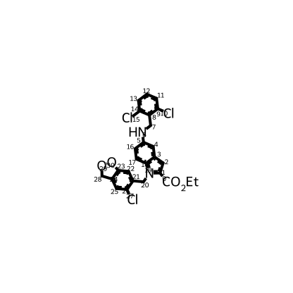 CCOC(=O)c1cc2cc(NCc3c(Cl)cccc3Cl)ccc2n1Cc1cc2c(cc1Cl)COO2